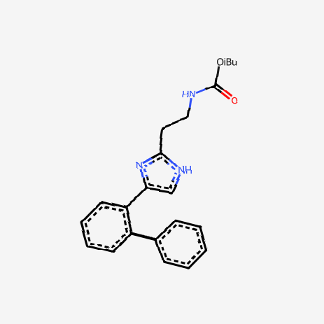 CC(C)COC(=O)NCCc1nc(-c2ccccc2-c2ccccc2)c[nH]1